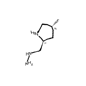 NNC[C@@H]1C[C@@H](F)CN1